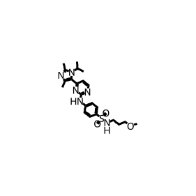 COCCCNS(=O)(=O)c1ccc(Nc2nccc(-c3c(C)nc(C)n3C(C)C)n2)cc1